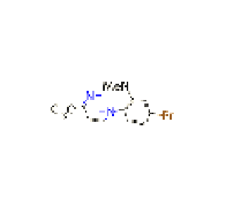 CNc1cc(Br)ccc1N/C=C\C(=N)C(Cl)(Cl)Cl